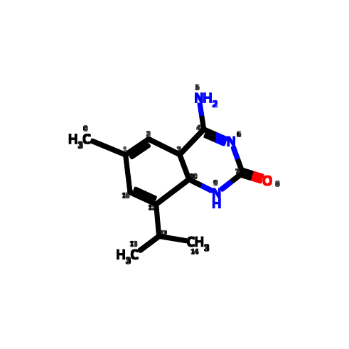 CC1=CC2C(N)=NC(=O)NC2C(C(C)C)=C1